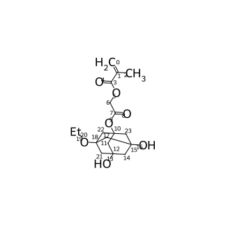 C=C(C)C(=O)OCC(=O)OC12CC3(O)CC(O)(CC(OCC)(C3)C1)C2